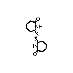 O=C1CCCCC(SSC2CCCCC(=O)N2)N1